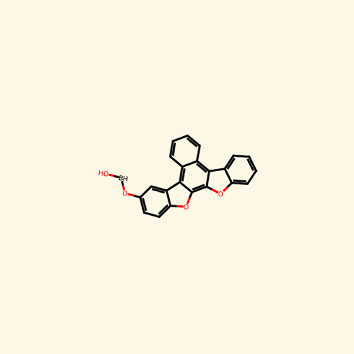 OBOc1ccc2oc3c4oc5ccccc5c4c4ccccc4c3c2c1